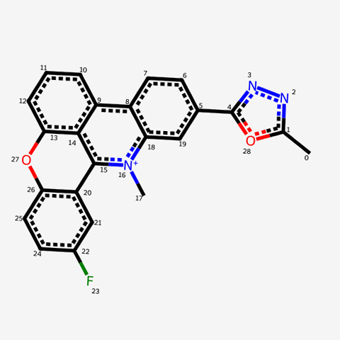 Cc1nnc(-c2ccc3c4cccc5c4c([n+](C)c3c2)-c2cc(F)ccc2O5)o1